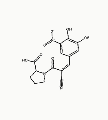 N#CC(=Cc1cc(O)c(O)c([N+](=O)[O-])c1)C(=O)N1CCCC1C(=O)O